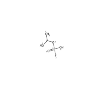 CC(O)OP(=O)(O)F